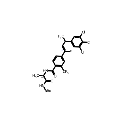 CCCCNC(=O)[C@@H](C)NC(=O)c1ccc(/C(F)=C/C(c2cc(Cl)c(Cl)c(Cl)c2)C(F)(F)F)cc1C(F)(F)F